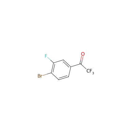 O=C(c1ccc(Br)c(F)c1)C(F)(F)F